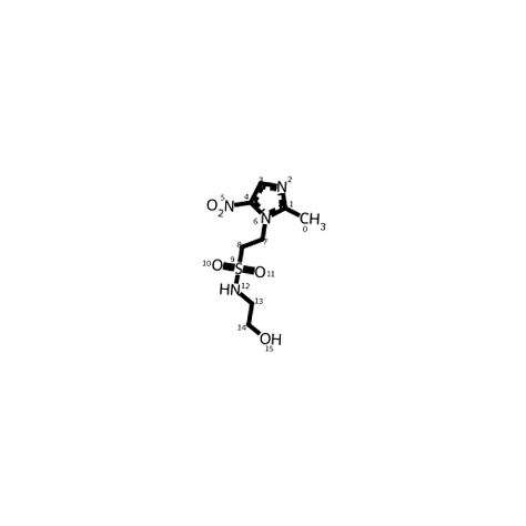 Cc1ncc([N+](=O)[O-])n1CCS(=O)(=O)NCCO